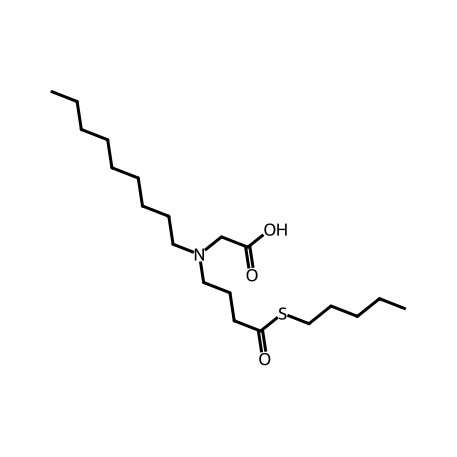 CCCCCCCCCN(CCCC(=O)SCCCCC)CC(=O)O